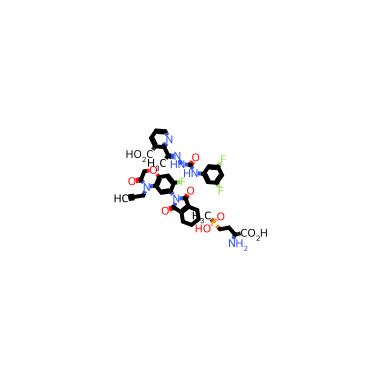 C#CCN1C(=O)COc2cc(F)c(N3C(=O)C4=C(CCCC4)C3=O)cc21.C/C(=N\NC(=O)Nc1cc(F)cc(F)c1)c1ncccc1C(=O)O.CP(=O)(O)CCC(N)C(=O)O